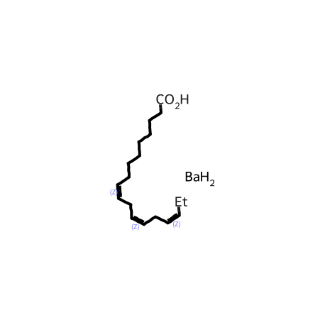 CC/C=C\C/C=C\C/C=C\CCCCCCCC(=O)O.[BaH2]